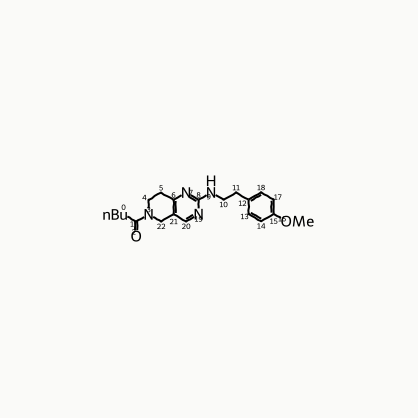 CCCCC(=O)N1CCc2nc(NCCc3ccc(OC)cc3)ncc2C1